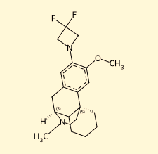 COc1cc2c(cc1N1CC(F)(F)C1)C[C@H]1C3CCCC[C@@]23CCN1C